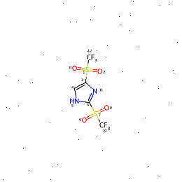 O=S(=O)(c1c[nH]c(S(=O)(=O)C(F)(F)F)n1)C(F)(F)F